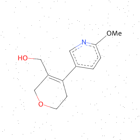 COc1ccc(C2=C(CO)COCC2)cn1